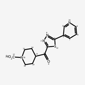 O=C(c1nnc(-c2cccnc2)s1)C1CCN(C(=O)O)CC1